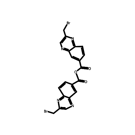 O=C(OC(=O)c1ccc2nc(CBr)cnc2c1)c1ccc2nc(CBr)cnc2c1